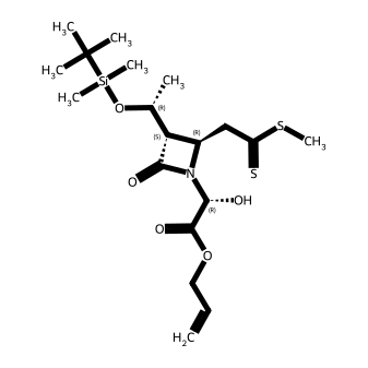 C=CCOC(=O)[C@@H](O)N1C(=O)[C@H]([C@@H](C)O[Si](C)(C)C(C)(C)C)[C@H]1CC(=S)SC